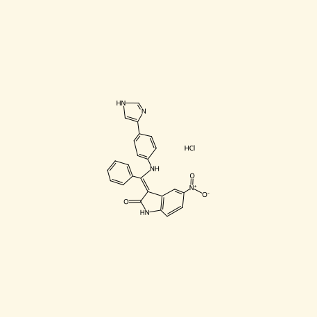 Cl.O=C1Nc2ccc([N+](=O)[O-])cc2C1=C(Nc1ccc(-c2c[nH]cn2)cc1)c1ccccc1